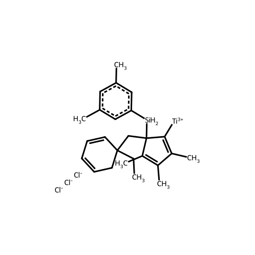 CCC1(CC2([SiH2]c3cc(C)cc(C)c3)C(C)=C(C)C(C)=[C]2[Ti+3])C=CC=CC1.[Cl-].[Cl-].[Cl-]